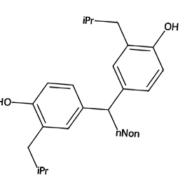 CCCCCCCCCC(c1ccc(O)c(CC(C)C)c1)c1ccc(O)c(CC(C)C)c1